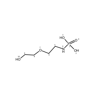 O=P(O)(O)NCCOCCO